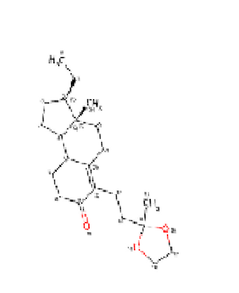 CC[C@@H]1CCC2C3CCC(=O)C(CCC4(C)OCCO4)=C3CC[C@]21C